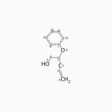 C=CCC(CO)Oc1ccccc1